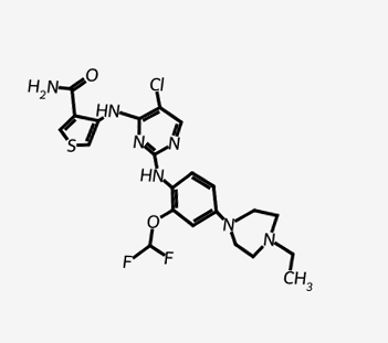 CCN1CCN(c2ccc(Nc3ncc(Cl)c(Nc4cscc4C(N)=O)n3)c(OC(F)F)c2)CC1